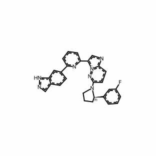 Fc1cccc([C@H]2CCCN2c2ccc3ncc(-c4cccc(-c5ccc6cn[nH]c6c5)n4)n3n2)c1